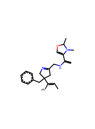 C=C(NCC1=NCC(Cc2ccccc2)(/C(=C/C)CCC)C1)C1=COC(C)N1C